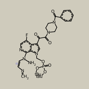 C=N/C=C\N(N)c1ncc(F)c2c(C(=O)C(=O)N3CCN(C(=O)c4ccccc4)CC3)cn(COP(=O)(OC(C)(C)C)OC(C)(C)C)c12